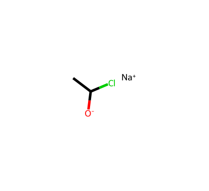 CC([O-])Cl.[Na+]